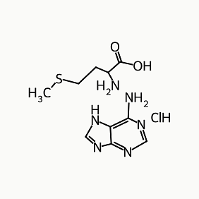 CSCCC(N)C(=O)O.Cl.Nc1ncnc2nc[nH]c12